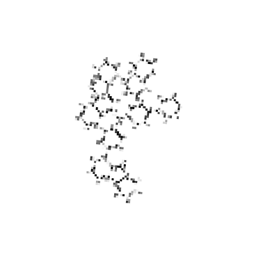 c1ccc(-c2ccc(N(c3ccc(-c4cccc5c4oc4ccccc45)cc3)c3cc4c(oc5cccc(-c6cccc7ccccc67)c54)c4ccccc34)cc2)cc1